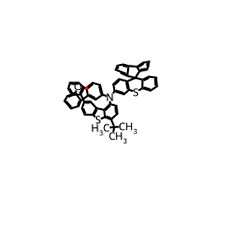 CC(C)(C)c1ccc(N(c2ccc3c(c2)Sc2ccccc2C32c3ccccc3-c3ccccc32)c2ccc3oc4ccccc4c3c2)c2c1sc1ccc(-c3ccccc3)cc12